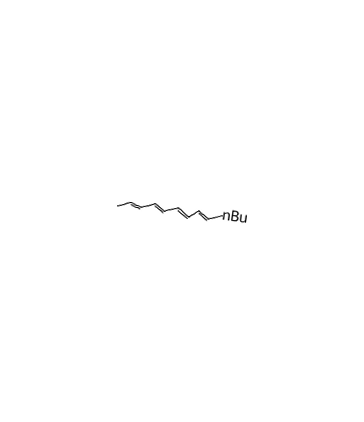 CC=CC=CC=CC=CCCCC